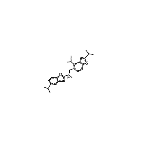 CC(C)c1ccc2oc([C@H](C)Cc3ccc4sc(C(C)C)cc4c3C(C)C)cc2c1